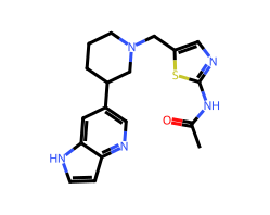 CC(=O)Nc1ncc(CN2CCCC(c3cnc4cc[nH]c4c3)C2)s1